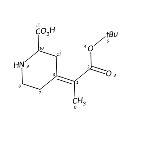 CC(C(=O)OC(C)(C)C)=C1CCNC(C(=O)O)C1